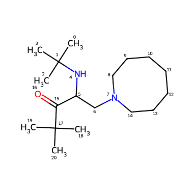 CC(C)(C)NC(CN1CCCCCCC1)C(=O)C(C)(C)C